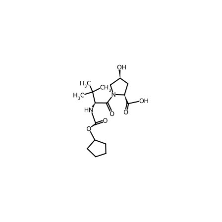 CC(C)(C)[C@H](NC(=O)OC1CCCC1)C(=O)N1C[C@@H](O)C[C@H]1C(=O)O